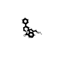 CC(=O)N1CCC(c2ccccc2)=CC1(CCCN)c1ccccc1